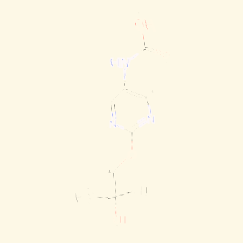 CC(C)(O)COc1ncc(NC(=O)O)cn1